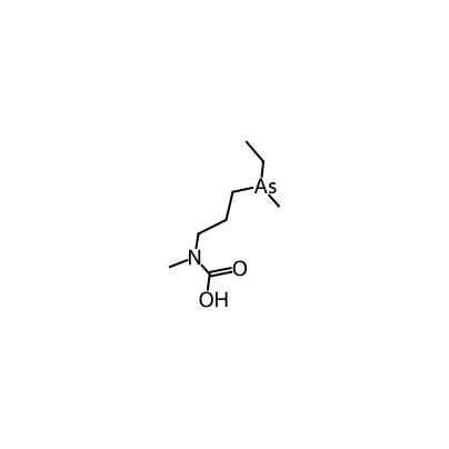 CC[As](C)CCCN(C)C(=O)O